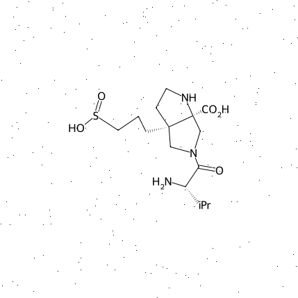 CC(C)[C@H](N)C(=O)N1C[C@@]2(CCCS(=O)O)CCN[C@@]2(C(=O)O)C1